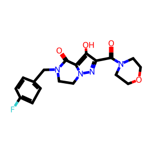 O=C(c1nn2c(c1O)C(=O)N(Cc1ccc(F)cc1)CC2)N1CCOCC1